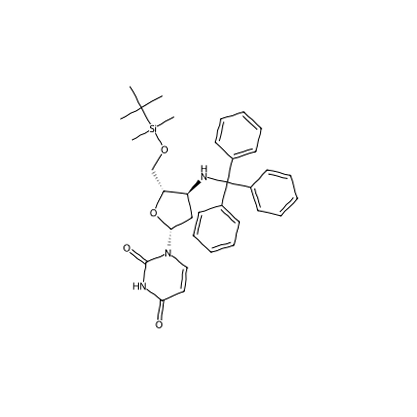 CC(C)(C)[Si](C)(C)OC[C@H]1O[C@@H](n2ccc(=O)[nH]c2=O)C[C@@H]1NC(c1ccccc1)(c1ccccc1)c1ccccc1